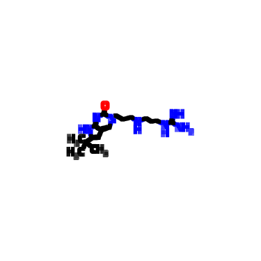 CC(C)(C)c1cc2cn(CCCNCCCNC(=N)N)c(=O)nc2[nH]1